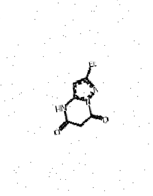 CCc1cc2n(n1)C(=O)CC(=O)N2